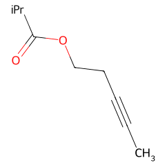 CC#CCCOC(=O)C(C)C